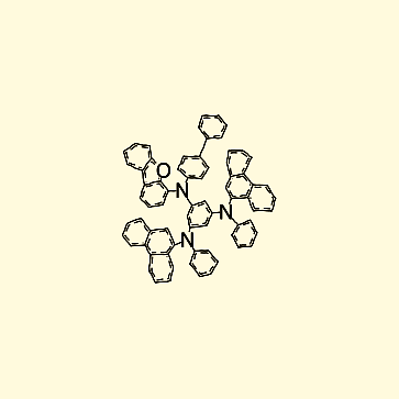 c1ccc(-c2ccc(N(c3cc(N(c4ccccc4)c4cc5ccccc5c5ccccc45)cc(N(c4ccccc4)c4cc5ccccc5c5ccccc45)c3)c3cccc4c3oc3ccccc34)cc2)cc1